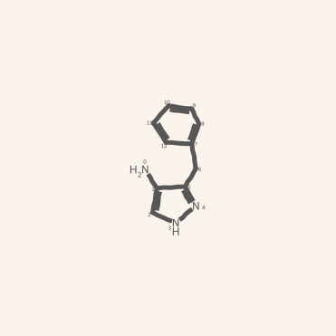 Nc1c[nH]nc1Cc1ccccc1